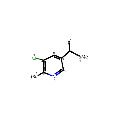 CSC(C)c1cnc(C(C)(C)C)c(Cl)c1